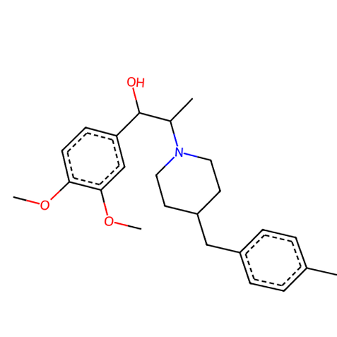 COc1ccc(C(O)C(C)N2CCC(Cc3ccc(C)cc3)CC2)cc1OC